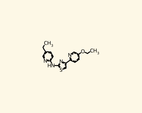 CCOc1ccc(-c2csc(Nc3ccc(CC)cn3)n2)nc1